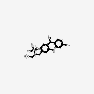 CCN(Cc1ccc(C(O)c2ccc(F)cc2)c(Br)c1)S(N)(=O)=O